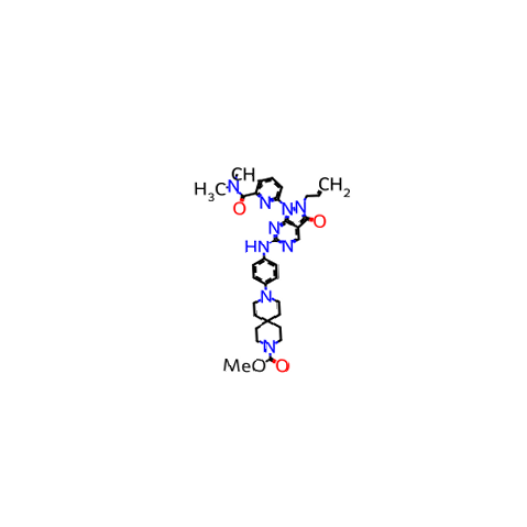 C=CCn1c(=O)c2cnc(Nc3ccc(N4CCC5(CCN(C(=O)OC)CC5)CC4)cc3)nc2n1-c1cccc(C(=O)N(C)C)n1